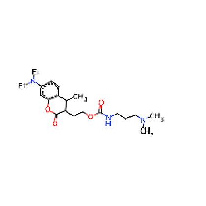 CCN(CC)c1ccc2c(c1)OC(=O)C(CCOC(=O)NCCCN(C)C)C2C